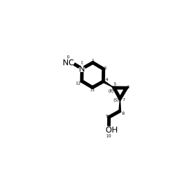 N#CN1CCC([C@H]2C[C@H]2CCO)CC1